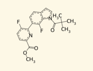 COC(=O)c1ccc(F)c(-c2ccc3ccn(C(=O)C(C)(C)C)c3c2F)n1